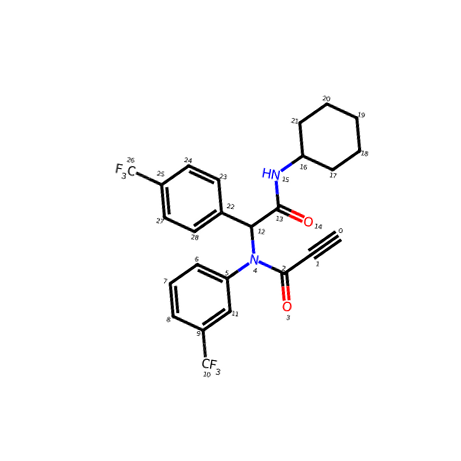 C#CC(=O)N(c1cccc(C(F)(F)F)c1)C(C(=O)NC1CCCCC1)c1ccc(C(F)(F)F)cc1